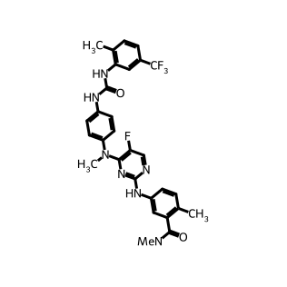 CNC(=O)c1cc(Nc2ncc(F)c(N(C)c3ccc(NC(=O)Nc4cc(C(F)(F)F)ccc4C)cc3)n2)ccc1C